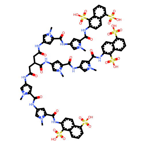 Cn1cc(NC(=O)CC(CC(=O)Nc2cc(C(=O)Nc3cc(C(=O)Nc4ccc5c(S(=O)(=O)O)cccc5c4S(=O)(=O)O)n(C)c3)n(C)c2)C(=O)Nc2cc(C(=O)Nc3cc(C(=O)Nc4ccc5c(S(=O)(=O)O)cccc5c4S(=O)(=O)O)n(C)c3)n(C)c2)cc1C(=O)Nc1cc(C(=O)Nc2ccc3c(S(=O)(=O)O)cccc3c2S(=O)(=O)O)n(C)c1